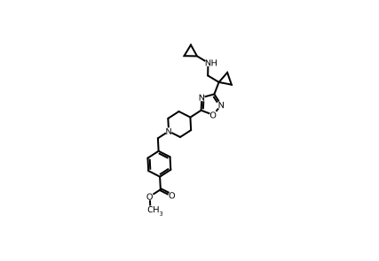 COC(=O)c1ccc(CN2CCC(c3nc(C4(CNC5CC5)CC4)no3)CC2)cc1